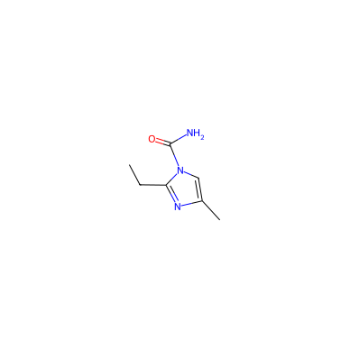 CCc1nc(C)cn1C(N)=O